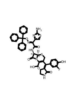 Nc1nc(C(=NOC(c2ccccc2)(c2ccccc2)c2ccccc2)C(=O)N[C@@H]2C(=O)N3C(C(=O)O)=C(C(=C4CCNC4=O)c4ccc(O)c(F)c4)CS[C@H]23)cs1